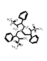 CC(C([CH2][Al]([CH2]C(c1ccccc1)C(C)S(C)(=O)=O)[CH2]C(c1ccccc1)C(C)S(C)(=O)=O)c1ccccc1)S(C)(=O)=O